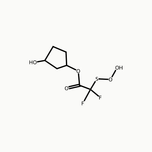 O=C(OC1CCC(O)C1)C(F)(F)SOO